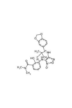 CN(C)C(=O)c1cccc(Nc2c(N[C@@H](c3ccc4c(c3)OCO4)C(C)(C)C)no[n+]2[O-])c1O